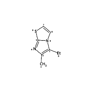 CCc1c(C)nc2sccn12